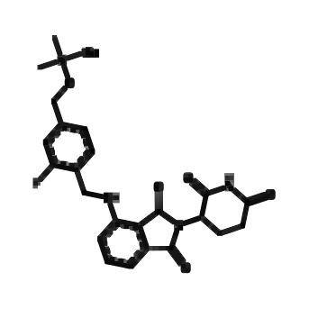 CC(C)(C)[Si](C)(C)OCc1ccc(CNc2cccc3c2C(=O)N(C2CCC(=O)NC2=O)C3=O)c(F)c1